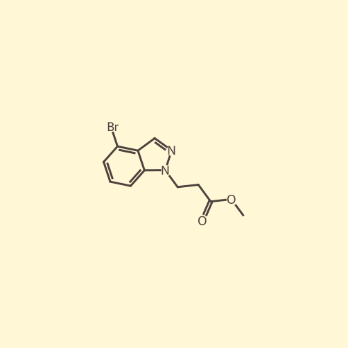 COC(=O)CCn1ncc2c(Br)cccc21